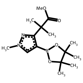 COC(=O)C(C)(C)c1nn(C)cc1B1OC(C)(C)C(C)(C)O1